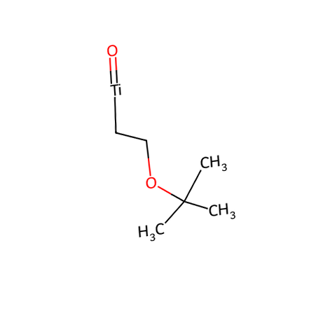 CC(C)(C)OC[CH2][Ti]=[O]